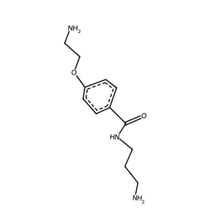 NCCCNC(=O)c1ccc(OCCN)cc1